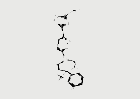 OCc1noc(-c2ccc(N3CCC(c4ccccc4)(C(F)(F)F)CC3)nn2)n1